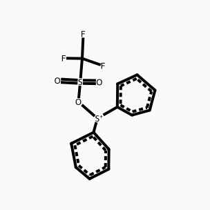 O=S(=O)(O[S+](c1ccccc1)c1ccccc1)C(F)(F)F